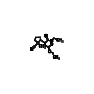 CCOC(=O)CC(C(=O)OCC)C1CCCC1(C)C#N